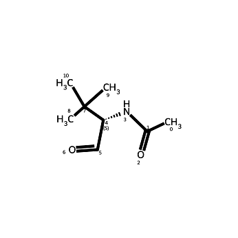 CC(=O)N[C@H](C=O)C(C)(C)C